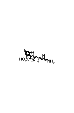 CCC(C(=O)O)C(NC(=O)CNCCNCCN)c1c(I)cc(I)cc1I